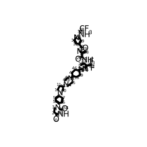 O=C1CCN(c2ccc(N3CCC(N4CCN(C5CCC(n6cc(NC(=O)c7coc(-c8ccnc(NCC(F)(F)F)c8)n7)c(C(F)F)n6)CC5)CC4)C3)cc2)C(=O)N1